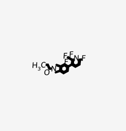 CCC(=O)N1Cc2ccc(-c3ccc(F)nc3C(F)(F)F)cc2C1